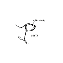 COc1cc(NN)ccc1C(=O)O.Cl